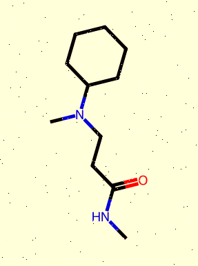 CNC(=O)CCN(C)C1CCCCC1